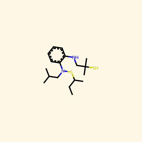 CCC(C)SN(CC(C)C)c1ccccc1NCC(C)(C)S